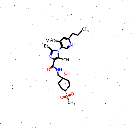 CCc1nc(C(=O)NC[C@]2(O)CC[C@@H](S(C)(=O)=O)CC2)c(C#N)n1-c1cnc(CCC(F)(F)F)cc1OC